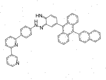 N=C1C=CC(c2c3ccccc3c(-c3ccc4ccccc4c3)c3ccccc23)=C/C1=N/Nc1ccc(-c2cccc(-c3cccnc3)n2)cc1